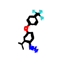 CC(C)c1cc(Oc2ccc(C(F)(F)F)cc2)ccc1N